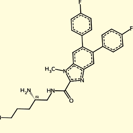 Cn1c(C(=O)NC[C@@H](N)CCCN)nc2cc(-c3ccc(F)cc3)c(-c3ccc(F)cc3)cc21